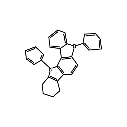 c1ccc(B2c3ccccc3-c3c2ccc2c4c(n(-c5ccccc5)c32)CCCC4)cc1